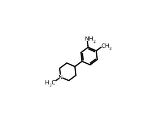 Cc1ccc(C2CCN(C)CC2)cc1N